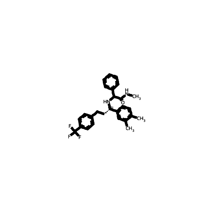 CNC(=O)C(N[C@@H](CCc1ccc(C(F)(F)F)cc1)c1ccc(C)c(C)c1)c1ccccc1